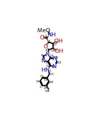 CONC(=O)[C@@H]1OC(n2cnc3c(NCc4cccc(I)c4)ncnc32)C(O)C1O